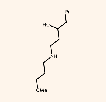 COCCCNCCC(O)CC(C)C